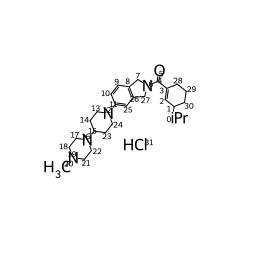 CC(C)C1C=C(C(=O)N2Cc3ccc(N4CCC(N5CCN(C)CC5)CC4)cc3C2)CCC1.Cl